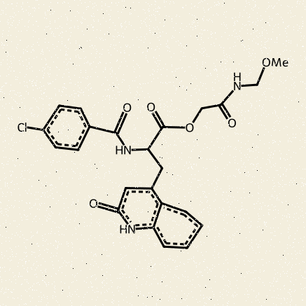 COCNC(=O)COC(=O)C(Cc1cc(=O)[nH]c2ccccc12)NC(=O)c1ccc(Cl)cc1